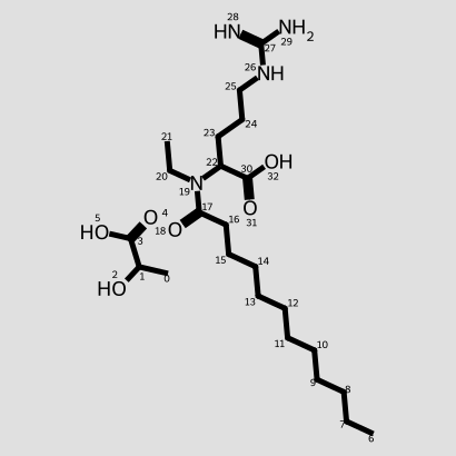 CC(O)C(=O)O.CCCCCCCCCCCC(=O)N(CC)C(CCCNC(=N)N)C(=O)O